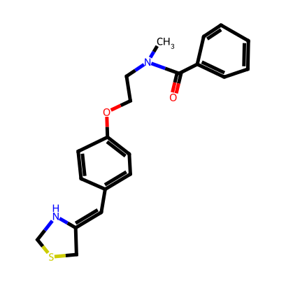 CN(CCOc1ccc(C=C2CSCN2)cc1)C(=O)c1ccccc1